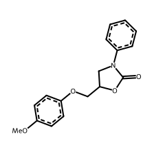 COc1ccc(OCC2CN(c3ccccc3)C(=O)O2)cc1